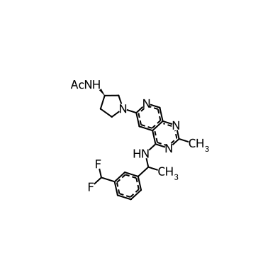 CC(=O)N[C@@H]1CCN(c2cc3c(NC(C)c4cccc(C(F)F)c4)nc(C)nc3cn2)C1